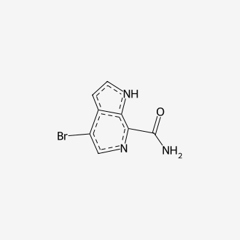 NC(=O)c1ncc(Br)c2cc[nH]c12